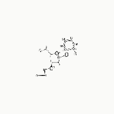 [CH2]CCOCCC(OCCC)Oc1ccccc1C